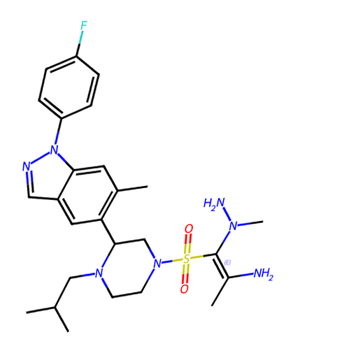 C/C(N)=C(/N(C)N)S(=O)(=O)N1CCN(CC(C)C)C(c2cc3cnn(-c4ccc(F)cc4)c3cc2C)C1